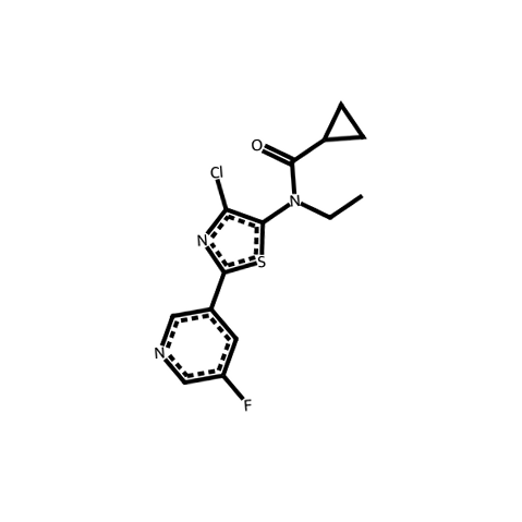 CCN(C(=O)C1CC1)c1sc(-c2cncc(F)c2)nc1Cl